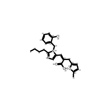 CCCCc1ncc(/C=C(/Cc2ccc(C)o2)C(=O)O)n1Cc1ccccc1Cl